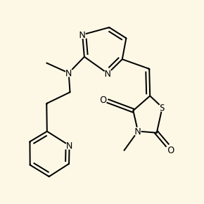 CN1C(=O)SC(=Cc2ccnc(N(C)CCc3ccccn3)n2)C1=O